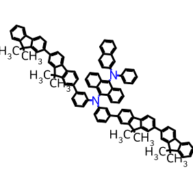 CC1(C)c2ccccc2-c2ccc(-c3ccc4c(c3)C(C)(C)c3cc(-c5cccc(N(c6cccc(-c7ccc8c(c7)C(C)(C)c7cc(-c9ccc%10c(c9)C(C)(C)c9ccccc9-%10)ccc7-8)c6)c6c7ccccc7c(N(c7ccccc7)c7ccc8ccccc8c7)c7ccccc67)c5)ccc3-4)cc21